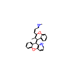 C/N=C/C=C\C1=C(C)C(=C2\c3ccccc3Oc3ccc[n+](C)c32)/c2ccccc2O1